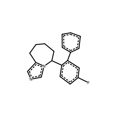 Fc1ccc(C2CCCCc3cncn32)c(-c2ccccc2)c1